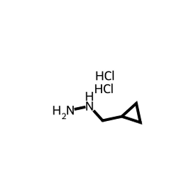 Cl.Cl.NNCC1CC1